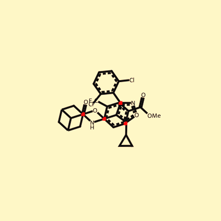 COC(=O)c1ccc(NC(=O)C2C3CC(OCc4c(-c5c(Cl)cccc5Cl)noc4C4CC4)CC2C3)c(C(F)(F)F)c1